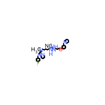 CN(CCCCCN/C(=N/CCCOc1cccc(CN2CCCCC2)c1)NC#N)CCN(Cc1ccc(F)cc1)c1ccccn1